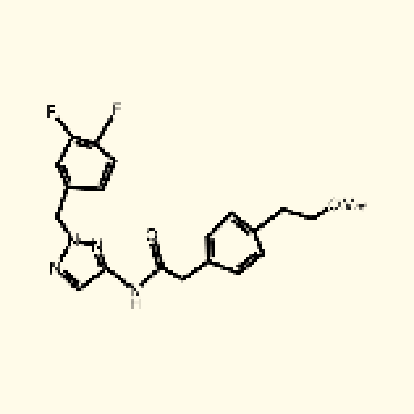 COCCc1ccc(CC(=O)Nc2cnn(Cc3ccc(F)c(F)c3)n2)cc1